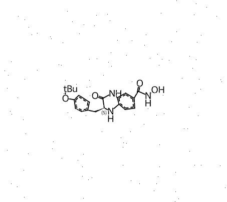 CC(C)(C)Oc1ccc(C[C@@H]2Nc3ccc(C(=O)NO)cc3NC2=O)cc1